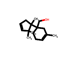 CC1=CCCC(CO)(C2(C)CC=CC2(C)C)C1